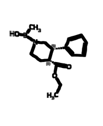 CCOC(=O)[C@@H]1CCN(B(C)O)C[C@@H]1c1ccccc1